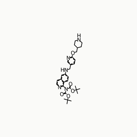 CC(C)(C)OC(=O)N(C(=O)OC(C)(C)C)c1nccc2cc(NCc3ccc(OCC4CCNCC4)nc3)ccc12